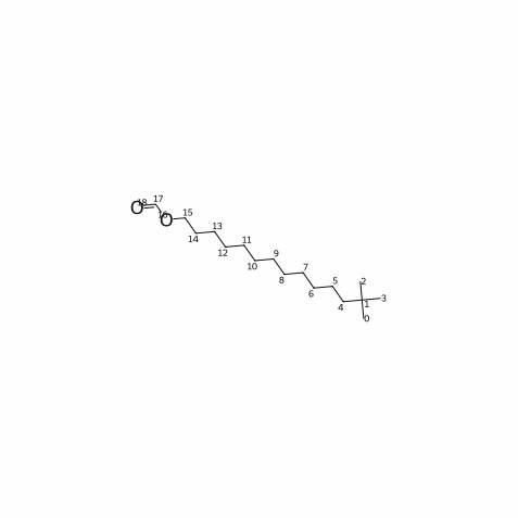 CC(C)(C)CCCCCCCCCCCCOC=O